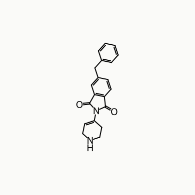 O=C1c2ccc(Cc3ccccc3)cc2C(=O)N1C1=CCNCC1